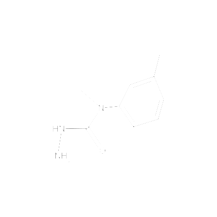 Cc1cccc(N(C)C(=O)NN)c1